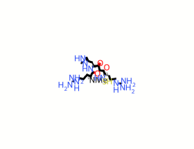 CN[C@@H](CCCNC(N)N)C(=O)N[C@@H](Cc1c[nH]cn1)C(=O)CC(=O)[C@H](CCCNC(N)N)NS